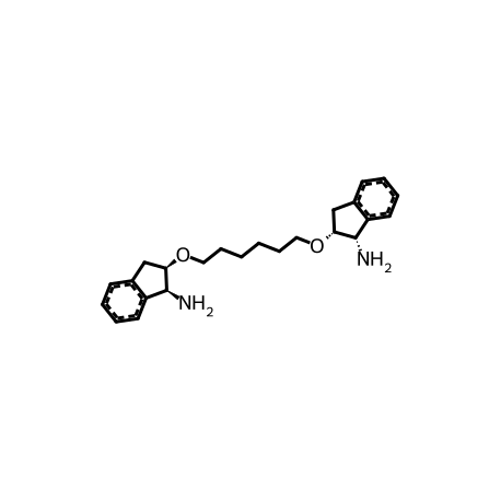 N[C@H]1c2ccccc2C[C@H]1OCCCCCCO[C@@H]1Cc2ccccc2[C@@H]1N